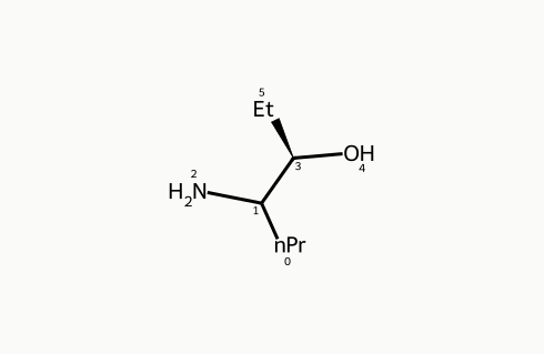 CCCC(N)[C@H](O)CC